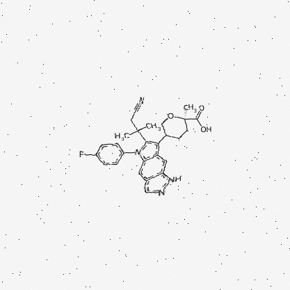 CC(C)(CC#N)c1c(C2CC[C@](C)(C(=O)O)OC2)c2cc3[nH]ncc3cc2n1-c1ccc(F)cc1